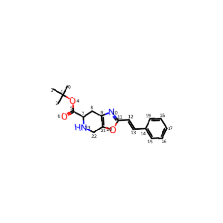 CC(C)(C)OC(=O)C1Cc2nc(C=Cc3ccccc3)oc2CN1